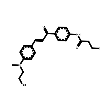 CN(CCO)c1ccc(C=CC(=O)c2ccc(NC(=O)CCI)cc2)cc1